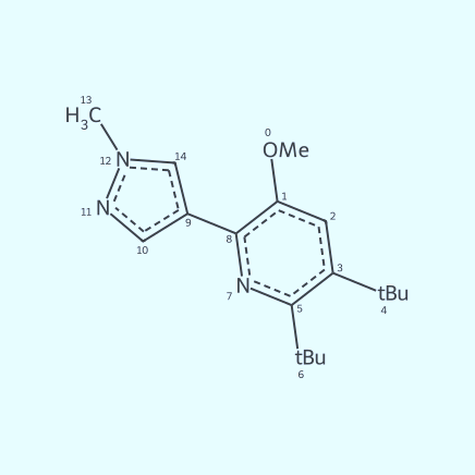 COc1cc(C(C)(C)C)c(C(C)(C)C)nc1-c1cnn(C)c1